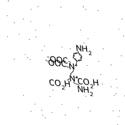 NCC[N+](CC[N+](CC(=O)[O-])(CC(=O)[O-])Cc1ccc(N)cc1)(CC(=O)O)CC(=O)O